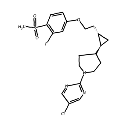 CS(=O)(=O)c1ccc(OCC[C@@H]2C[C@H]2C2CCN(c3ncc(Cl)cn3)CC2)cc1F